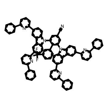 N#Cc1cc(-n2c3ccc(-c4cccc(-c5ccccc5)n4)cc3c3cc(-c4cccc(-c5ccccc5)n4)ccc32)c(-c2cccc(C(F)(F)F)c2)c(-n2c3ccc(-c4cccc(-c5ccccc5)n4)cc3c3cc(-c4cccc(-c5ccccc5)n4)ccc32)c1